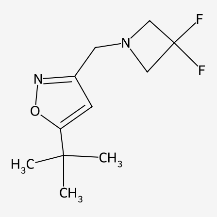 CC(C)(C)c1cc(CN2CC(F)(F)C2)no1